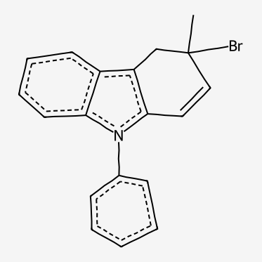 CC1(Br)C=Cc2c(c3ccccc3n2-c2ccccc2)C1